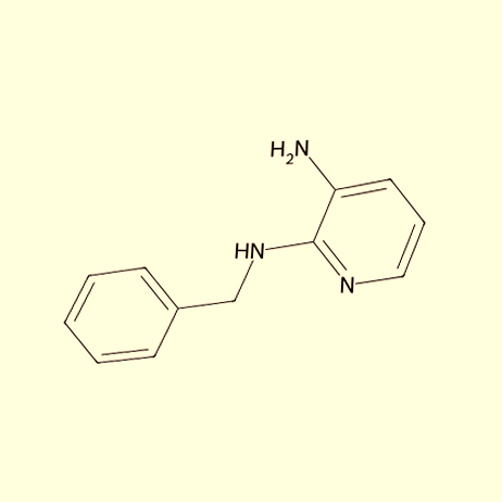 Nc1cccnc1NCc1ccccc1